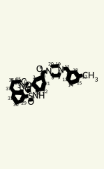 COc1cc(C(=O)N2CCN(Cc3cccc(C)c3)CC2)ccc1NS(=O)(=O)c1cccc2c1N=CCC2